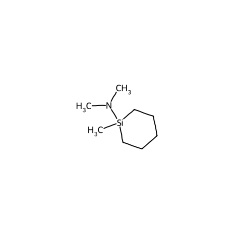 CN(C)[Si]1(C)CCCCC1